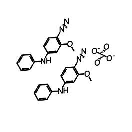 COc1cc(Nc2ccccc2)ccc1[N+]#N.COc1cc(Nc2ccccc2)ccc1[N+]#N.O=S(=O)([O-])[O-]